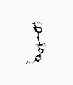 COc1ccc(C#CC(=O)NC2CCN(c3ncc(C)s3)C2)cc1